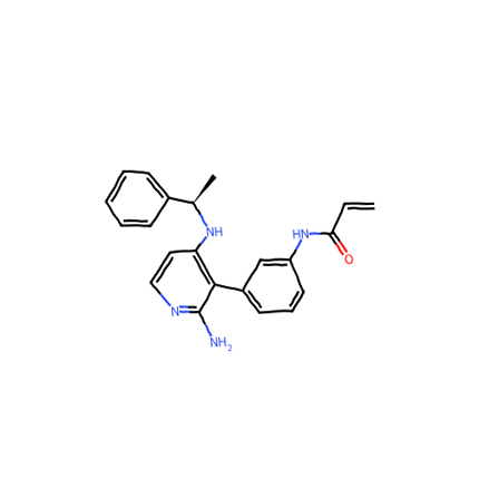 C=CC(=O)Nc1cccc(-c2c(N[C@H](C)c3ccccc3)ccnc2N)c1